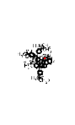 CC(C)(C)C1(C2(C(C)(C)C)c3ccccc3-c3ccc(N(c4ccc([Si](C)(C)C)cc4)c4ccc([Si](C)(C)C)cc4)cc32)c2ccccc2-c2ccc(N(c3ccc([Si](C)(C)C)cc3)c3ccc([Si](C)(C)C)cc3)cc21